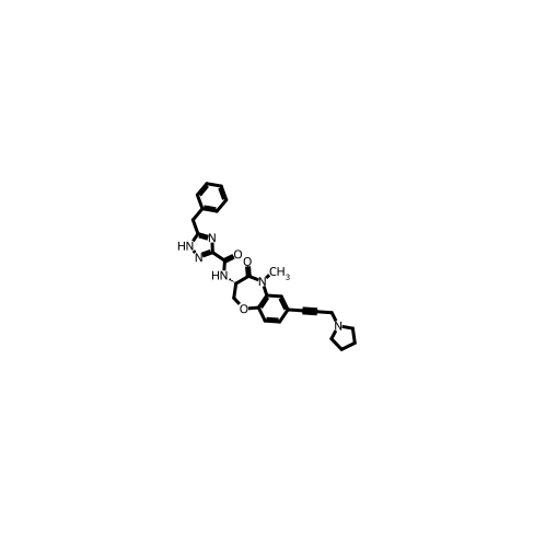 CN1C(=O)[C@@H](NC(=O)c2n[nH]c(Cc3ccccc3)n2)COc2ccc(C#CCN3CCCC3)cc21